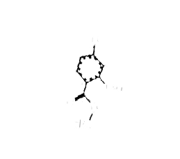 CC(C)(C)OC(=O)c1ccc(O)cc1C(C)(C)C